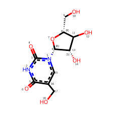 O=c1[nH]c(=O)n([C@@H]2O[C@H](CO)C(O)[C@@H]2O)cc1CO